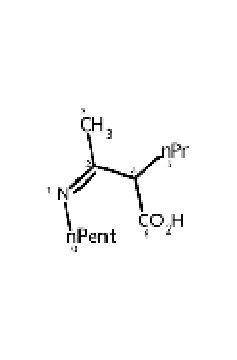 CCCCCN=C(C)C(CCC)C(=O)O